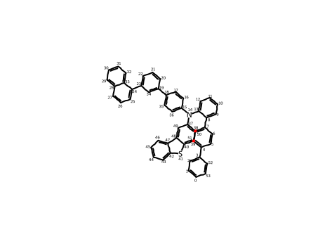 c1ccc(-c2ccc(-c3ccccc3N(c3ccc(-c4cccc(-c5cccc6ccccc56)c4)cc3)c3ccc4sc5ccccc5c4c3)cc2)cc1